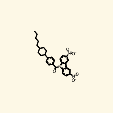 CCCCCC1CCC(c2ccc(C(=O)n3c4ccc([N+](=O)[O-])cc4c4cc([N+](=O)[O-])ccc43)cc2)CC1